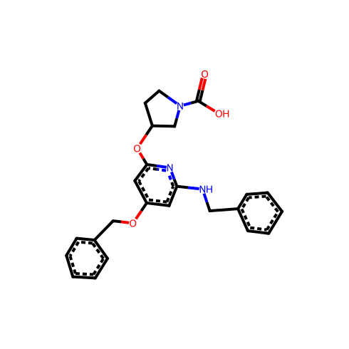 O=C(O)N1CCC(Oc2cc(OCc3ccccc3)cc(NCc3ccccc3)n2)C1